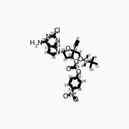 C#C[C@]1(CO[Si](C)(C)C(C)(C)C)O[C@@H](n2ccc3c(N)nc(Cl)nc32)C[C@@H]1OC(=O)Oc1ccc([N+](=O)[O-])cc1